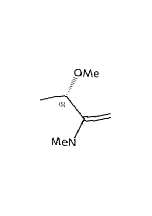 C=C(NC)[C@H](C)OC